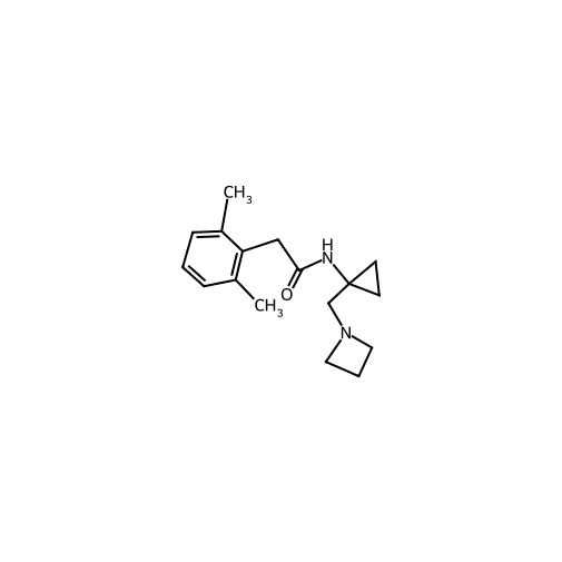 Cc1cccc(C)c1CC(=O)NC1(CN2CCC2)CC1